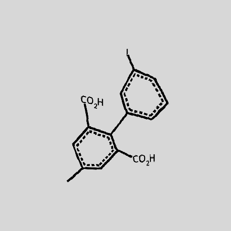 Cc1cc(C(=O)O)c(-c2cccc(I)c2)c(C(=O)O)c1